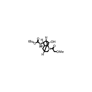 COCC(=O)N1C[C@H]2C[C@@H]3[C@H](NC(=O)OC(C)(C)C)[C@H](C2)C1[C@H]3O